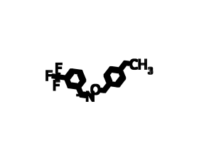 CCc1ccc(CO/N=[C]\c2cccc(C(F)(F)F)c2)cc1